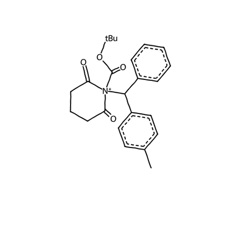 Cc1ccc(C(c2ccccc2)[N+]2(C(=O)OC(C)(C)C)C(=O)CCCC2=O)cc1